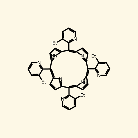 CCc1cccnc1-c1c2nc(c(-c3ncccc3CC)c3ccc([nH]3)c(-c3ncccc3CC)c3nc(c(-c4ncccc4CC)c4ccc1[nH]4)C=C3)C=C2